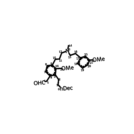 CCCCCCCCCCCCc1c(CC=O)ccc(CCCN(C)CCc2cccc(OC)c2)c1OC